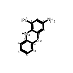 CC(C)c1cc(N)cc2c1Nc1ccccc1S2